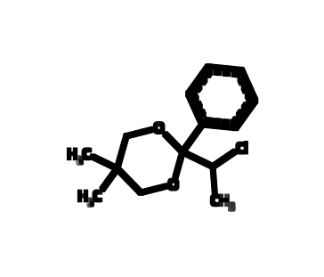 CC(Cl)C1(c2ccccc2)OCC(C)(C)CO1